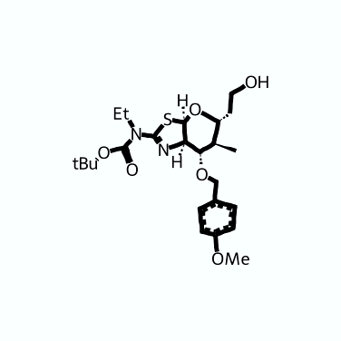 CCN(C(=O)OC(C)(C)C)C1=N[C@@H]2[C@@H](OCc3ccc(OC)cc3)[C@H](C)[C@@H](CCO)O[C@@H]2S1